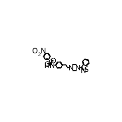 O=[N+]([O-])c1ccc(S(=O)(=O)Nc2ccc(CCN3CCN(c4nsc5ccccc45)CC3)cc2)cc1